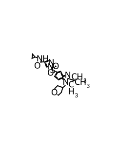 CC(C)(C)c1nc2cc(S(=O)(=O)n3cc(C(=O)NC4CC4)cn3)ccc2n1CC1CCOCC1